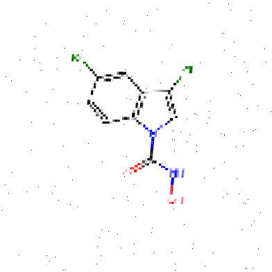 O=C(NO)n1cc(Cl)c2cc(Br)ccc21